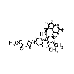 CC[C@H]1C(C2=CCN([C@H]3C[C@@H](C(=O)OC)C3)CC2)=C2NN=C3C=Cc4cc(F)cc(c43)C2=CN1C